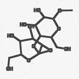 COC1OC(CO)C(OC23OC(CO)C(O)C(O)C2O3)C(O)C1O